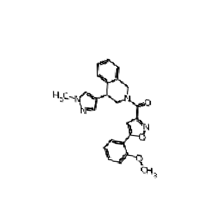 COc1ccccc1-c1cc(C(=O)N2Cc3ccccc3C(c3cnn(C)c3)C2)no1